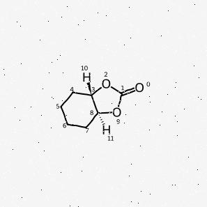 O=C1O[C@H]2CCCC[C@@H]2O1